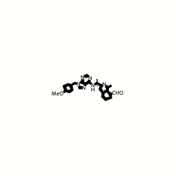 COc1ccc(Cn2cnc3c(N[C@@H](C)c4cc5cccc(C=O)c5c(C)n4)ncnc32)cc1